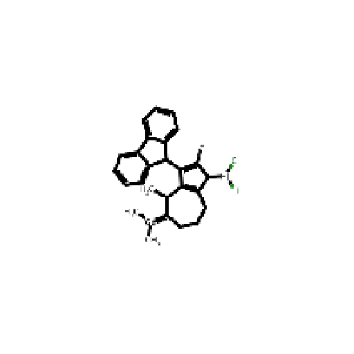 CCC1=C(C2c3ccccc3-c3ccccc32)C2=C(CCC[C](=[Ge]([CH3])[CH3])C2C)[CH]1[Hf]([Cl])[Cl]